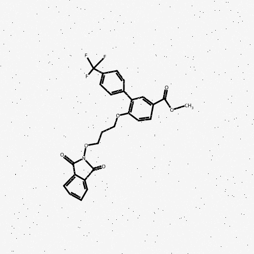 COC(=O)c1ccc(OCCCON2C(=O)c3ccccc3C2=O)c(-c2ccc(C(F)(F)F)cc2)c1